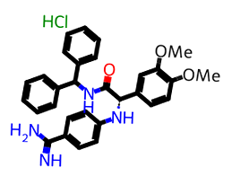 COc1ccc([C@H](Nc2ccc(C(=N)N)cc2)C(=O)NC(c2ccccc2)c2ccccc2)cc1OC.Cl